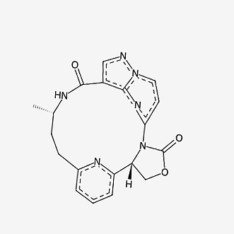 C[C@H]1CCc2cccc(n2)[C@H]2COC(=O)N2c2ccn3ncc(c3n2)C(=O)N1